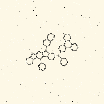 c1ccc(-c2c3c(cc4c2c2ccc(N(c5ccccc5)c5ccc6c7ccccc7c7ccccc7c6c5)cc2n4-c2ccc4ccccc4c2)oc2ccccc23)cc1